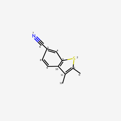 Cc1sc2cc(C#N)ccc2c1C